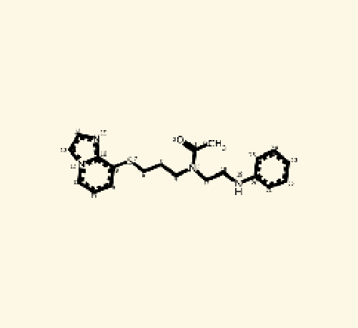 CC(=O)N(CCCSc1cccn2ccnc12)CCNc1ccccc1